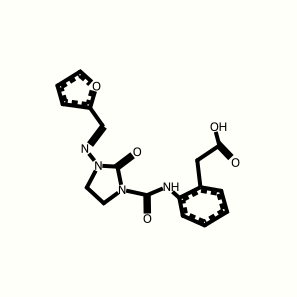 O=C(O)Cc1ccccc1NC(=O)N1CCN(N=Cc2ccco2)C1=O